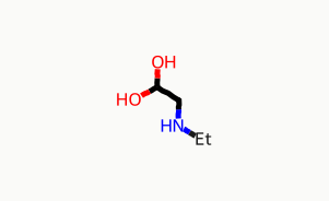 [CH2]CNCC(O)O